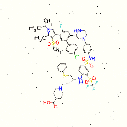 Cc1c(S(C)(=O)=O)c(-c2cc(-c3ccc(Cl)cc3)c([C@@H]3CN(c4ccc(NS(=O)(=O)c5ccc(N[C@H](CCN6CCC(C(=O)O)CC6)CSc6ccccc6)c(S(=O)(=O)C(F)(F)F)c5)cc4)CCN3)cc2F)cn1C(C)C